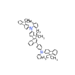 CC1(C)c2ccccc2-c2ccc(N(c3ccccc3)c3ccc(-c4cc5c(c6ccccc46)-c4ccc(N(c6ccccc6)c6ccc7c(c6)C(C)(C)c6ccccc6-7)cc4C5(C)C)cc3)cc21